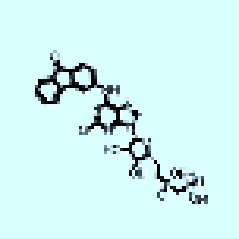 O=C1c2ccccc2-c2cc(Nc3nc(Cl)nc4c3ncn4[C@@H]3O[C@H](CCP(=O)(O)CP(=O)(O)O)C(O)C3O)ccc21